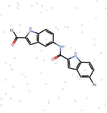 CCC(=O)c1cc2cc(NC(=O)c3cc4cc(C(C)=O)ccc4[nH]3)ccc2[nH]1